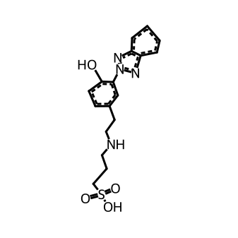 O=S(=O)(O)CCCNCCc1ccc(O)c(-n2nc3ccccc3n2)c1